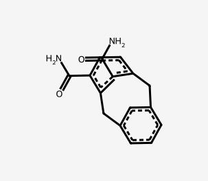 NC(=O)c1ccc2c(C(N)=O)c1Cc1cccc(c1)C2